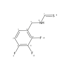 Fc1ccc(CN[C]=S)c(F)c1F